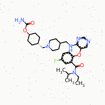 CCN(C(=O)c1cc(F)ccc1Oc1cncnc1NCC1CCN(C[C@H]2CC[C@H](OC(N)=O)CC2)CC1)C(C)C